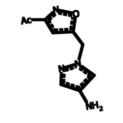 CC(=O)c1cc(Cn2cc(N)cn2)on1